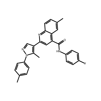 Cc1ccc(-n2ncc(-c3cc(C(=O)Nc4ccc(F)cc4)c4cc(C)ccc4n3)c2C)cc1